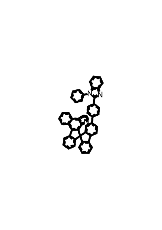 c1ccc(-n2c(-c3ccc(-c4ccc5c(c4)C4(c6ccccc6-5)c5ccccc5-c5c4c4ncccc4c4ccccc54)cc3)nc3ccccc32)cc1